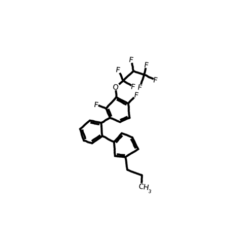 CCCc1cccc(-c2ccccc2-c2ccc(F)c(OC(F)(F)C(F)C(F)(F)F)c2F)c1